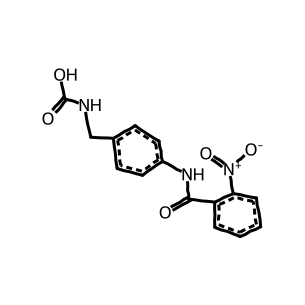 O=C(O)NCc1ccc(NC(=O)c2ccccc2[N+](=O)[O-])cc1